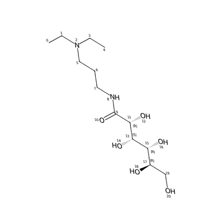 CCN(CC)CCCNC(=O)[C@H](O)[C@@H](O)[C@H](O)[C@H](O)CO